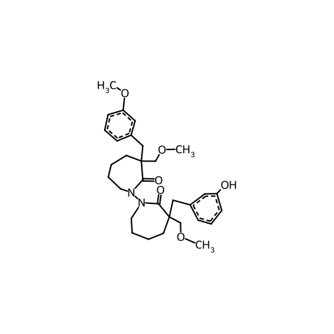 COCC1(Cc2cccc(O)c2)CCCCN(N2CCCCC(COC)(Cc3cccc(OC)c3)C2=O)C1=O